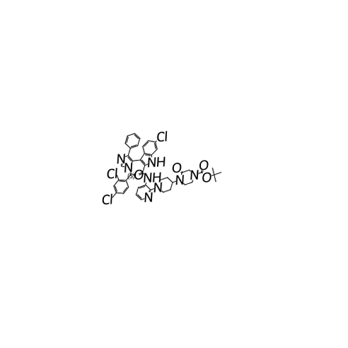 C[C@@H](c1ccc(Cl)cc1Cl)n1cnc(-c2ccccc2)c1-c1c(C(=O)Nc2cccnc2N2CCC(N3CCN(C(=O)OC(C)(C)C)CC3=O)CC2)[nH]c2cc(Cl)ccc12